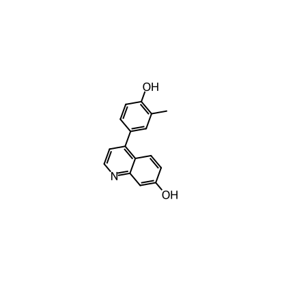 Cc1cc(-c2ccnc3cc(O)ccc23)ccc1O